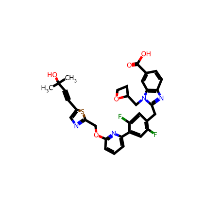 CC(C)(O)C#Cc1cnc(COc2cccc(-c3cc(F)c(Cc4nc5ccc(C(=O)O)cc5n4CC4CCO4)cc3F)n2)s1